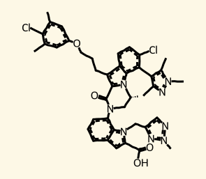 Cc1cc(OCCCc2c3n(c4c(-c5c(C)nn(C)c5C)c(Cl)ccc24)[C@H](C)CN(c2cccc4cc(C(=O)O)n(Cc5cnn(C)n5)c24)C3=O)cc(C)c1Cl